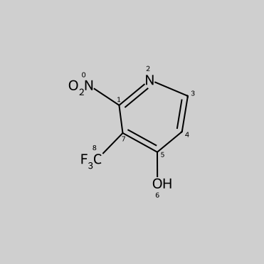 O=[N+]([O-])c1nccc(O)c1C(F)(F)F